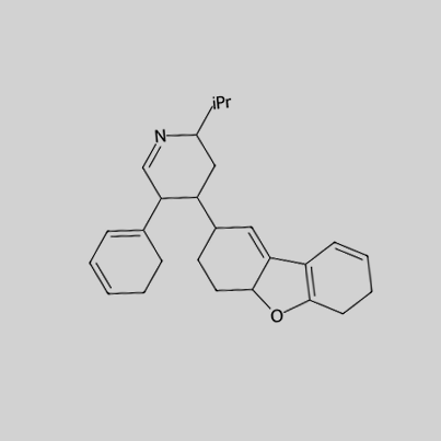 CC(C)C1CC(C2C=C3C4=C(CCC=C4)OC3CC2)C(C2=CC=CCC2)C=N1